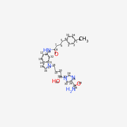 Cc1ccc(CCCC(=O)Nc2ccc3ccn(CCC[C@@H](O)n4cnc(C(N)=O)c4)c3c2)cc1